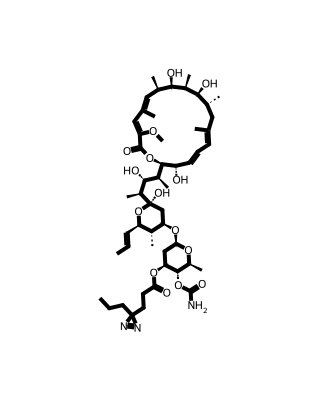 C/C=C/[C@H]1O[C@@](O)([C@@H](C)[C@H](O)[C@H](C)[C@H]2OC(=O)/C(OC)=C/C(C)=C/[C@@H](C)[C@@H](O)[C@@H](C)[C@@H](O)[C@H](C)C/C(C)=C/C=C/[C@@H]2O)C[C@@H](O[C@@H]2C[C@H](OC(=O)CCC3(CCC)N=N3)[C@@H](OC(N)=O)[C@H](C)O2)[C@@H]1C